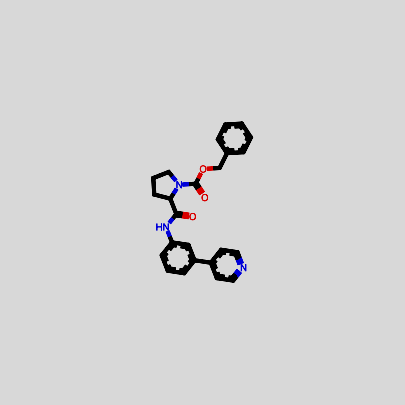 O=C(Nc1cccc(-c2ccncc2)c1)C1CCCN1C(=O)OCc1ccccc1